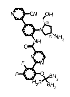 BC(B)(B)Oc1ccc(F)c(F)c1-c1nccc(C(=O)Nc2ccc(-c3cnccc3C#N)cc2N2C[C@@H](N)C[C@H]2CO)n1